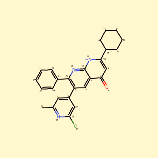 Cc1cc(-c2cc3c(=O)cc(C4CCCCC4)[nH]c3nc2-c2ccccc2)cc(Cl)n1